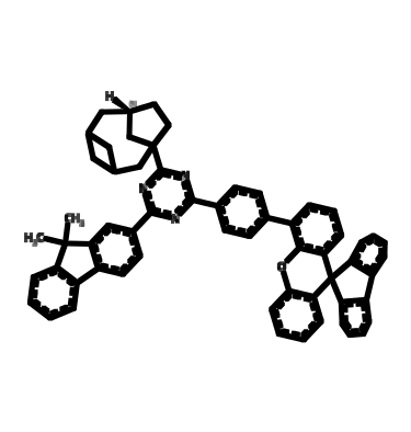 CC1(C)c2ccccc2-c2ccc(-c3nc(-c4ccc(-c5cccc6c5Oc5ccccc5C65c6ccccc6-c6ccccc65)cc4)nc(C45CC[C@@H](CC6CC(C6)C4)C5)n3)cc21